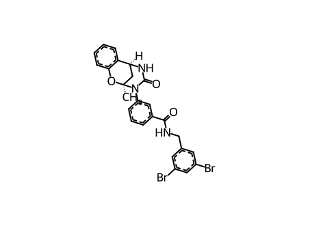 C[C@]12C[C@H](NC(=O)N1c1cccc(C(=O)NCc3cc(Br)cc(Br)c3)c1)c1ccccc1O2